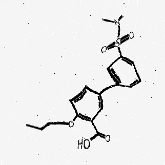 CCCOc1ccc(-c2cccc(S(=O)(=O)N(C)C)c2)cc1C(=O)O